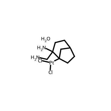 NCC1(N)CCC2CC[C]1([Pt]([Cl])[Cl])C2.O